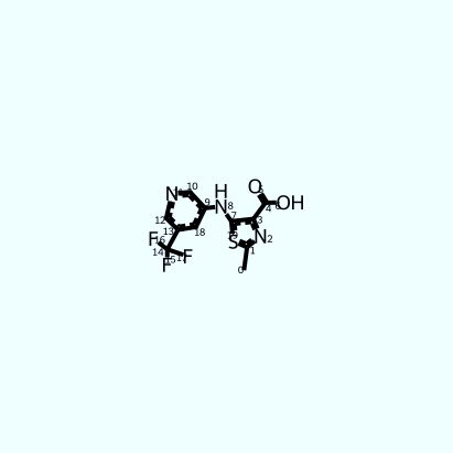 Cc1nc(C(=O)O)c(Nc2cncc(C(F)(F)F)c2)s1